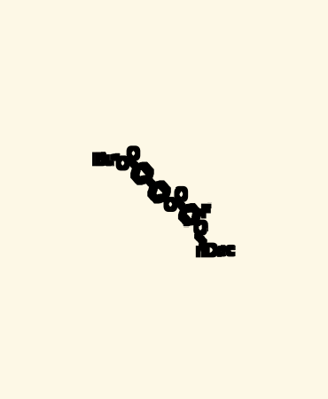 CCCCCCCCCCCCOc1ccc(C(=O)Oc2ccc(-c3ccc(C(=O)OCC(C)CC)cc3)cc2)cc1F